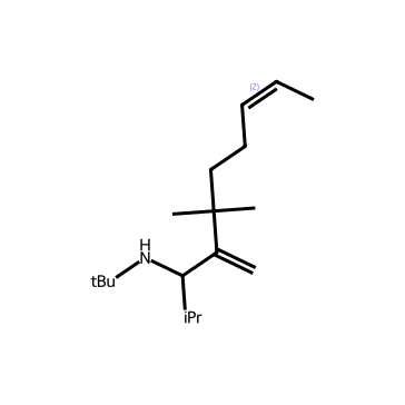 C=C(C(NC(C)(C)C)C(C)C)C(C)(C)CC/C=C\C